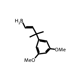 B/C=C/C(C)(C)c1cc(OC)cc(OC)c1